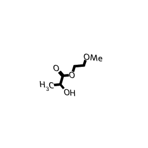 COCCOC(=O)C(C)O